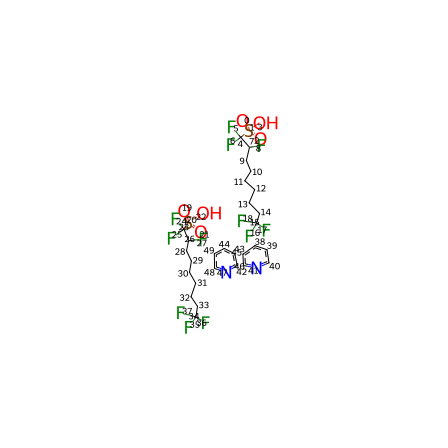 O=S(=O)(O)C(F)(F)C(F)CCCCCCC(F)(F)F.O=S(=O)(O)C(F)(F)C(F)CCCCCCC(F)(F)F.c1ccncc1.c1ccncc1